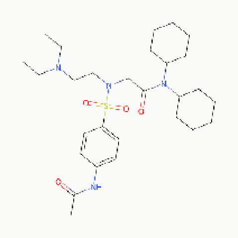 CCN(CC)CCN(CC(=O)N(C1CCCCC1)C1CCCCC1)S(=O)(=O)c1ccc(NC(C)=O)cc1